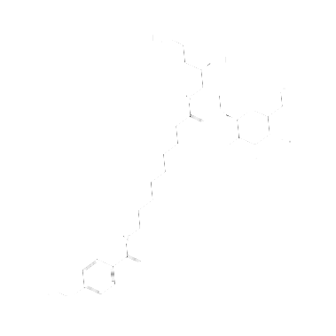 CC[C@@H](O)[C@@H](O)[C@H](CO[C@H]1OC(CO)[C@H](O)[C@H](O)C1O)NC(=O)CCCCCCCCNC(=O)c1ccc(OC)cc1